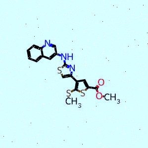 COC(=O)c1cc(-c2csc(Nc3cnc4ccccc4c3)n2)c(SC)s1